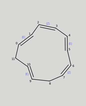 [C]1=C/C=C\C=C\C=C/C/C=C/C/1